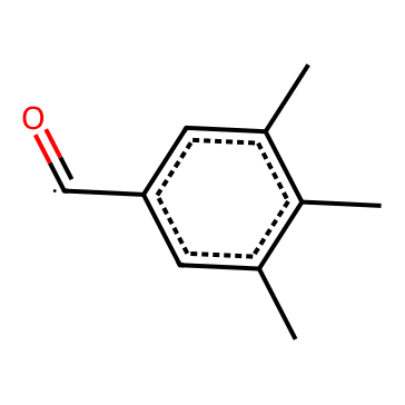 Cc1cc([C]=O)cc(C)c1C